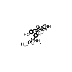 CCOC(=O)/N=C(\N)c1ccc(C(=O)NC(OC2CCNCC2)(C(=O)O)C(=O)CCc2ccc(O)cc2)cc1